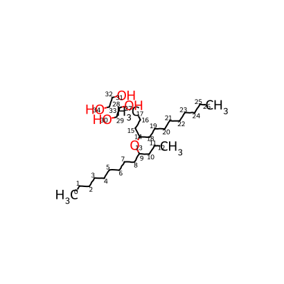 CCCCCCCCCC(CCC)OC(CCC)CCCCCCCCC.OCCO.OCCO